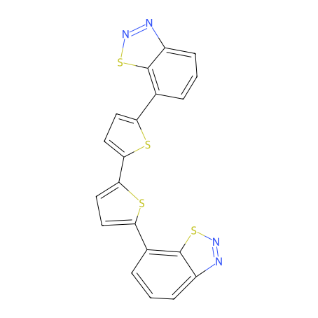 c1cc(-c2ccc(-c3ccc(-c4cccc5nnsc45)s3)s2)c2snnc2c1